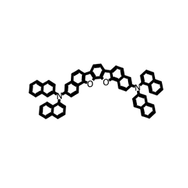 c1ccc2cc(N(c3ccc4c(ccc5c6ccc7c8ccc9cc(N(c%10ccc%11ccccc%11c%10)c%10cccc%11ccccc%10%11)ccc9c8oc7c6oc45)c3)c3cccc4ccccc34)ccc2c1